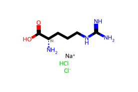 Cl.N=C(N)NCCC[C@H](N)C(=O)O.[Cl-].[Na+]